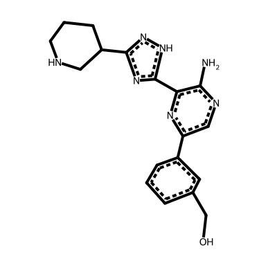 Nc1ncc(-c2cccc(CO)c2)nc1-c1nc(C2CCCNC2)n[nH]1